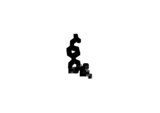 CCC(CN(O)C(N)=O)c1ccc(CC(C)C)cc1